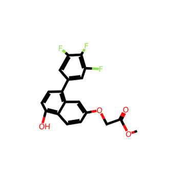 COC(=O)COc1ccc2c(O)ccc(-c3cc(F)c(F)c(F)c3)c2c1